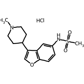 CN1CCC(c2coc3ccc(NS(C)(=O)=O)cc23)CC1.Cl